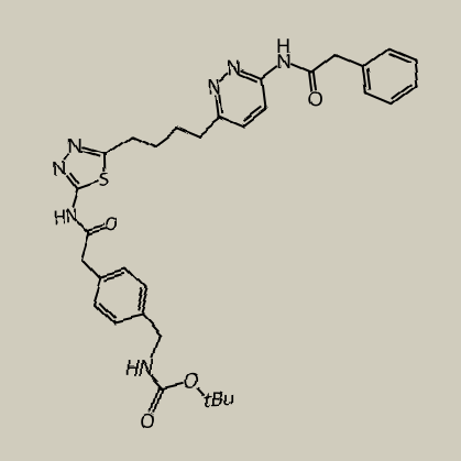 CC(C)(C)OC(=O)NCc1ccc(CC(=O)Nc2nnc(CCCCc3ccc(NC(=O)Cc4ccccc4)nn3)s2)cc1